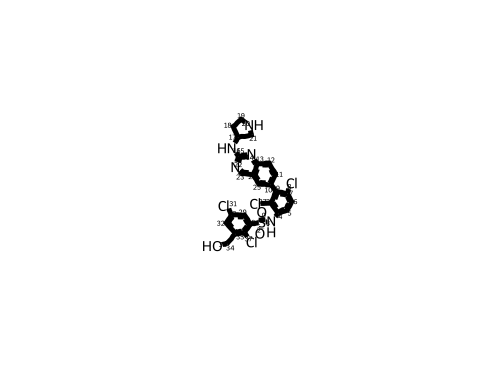 O=S(=O)(Nc1ccc(Cl)c(-c2ccc3nc(NC4CCNC4)ncc3c2)c1Cl)c1cc(Cl)cc(CO)c1Cl